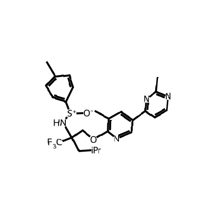 Cc1ccc([S+]([O-])NC(COc2ncc(-c3ccnc(C)n3)cc2C)(CC(C)C)C(F)(F)F)cc1